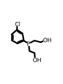 OCCP(CCO)c1cccc(Cl)c1